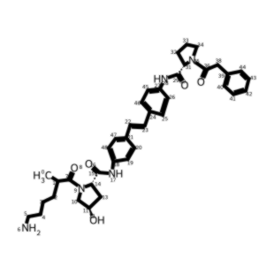 CC(CCCCN)C(=O)N1C[C@H](O)C[C@H]1C(=O)Nc1ccc(/C=C/c2ccc(NC(=O)[C@@H]3CCCN3C(=O)Cc3ccccc3)cc2)cc1